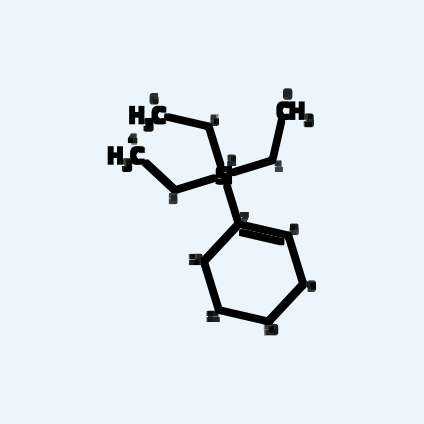 CC[Si](CC)(CC)C1=CCCCC1